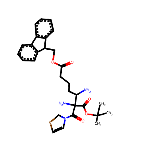 CC(C)(C)OC(=O)C(N)(C(=O)N1C=CSC1)C(N)CCCC(=O)OCC1c2ccccc2-c2ccccc21